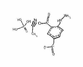 CC#N.NNc1ccc([N+](=O)[O-])cc1[N+](=O)[O-].O=P(O)(O)O